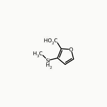 C[SiH2]c1ccoc1C(=O)O